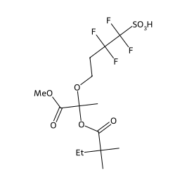 CCC(C)(C)C(=O)OC(C)(OCCC(F)(F)C(F)(F)S(=O)(=O)O)C(=O)OC